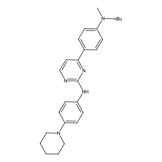 CCCCN(C)c1ccc(-c2ccnc(Nc3ccc(N4CCCCC4)cc3)n2)cc1